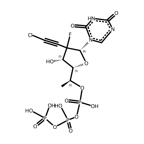 C[C@H](OP(=O)(O)OP(=O)(O)OP(=O)(O)O)[C@H]1O[C@@H](n2cnc(=O)[nH]c2=O)C(F)(C#CCl)[C@H]1O